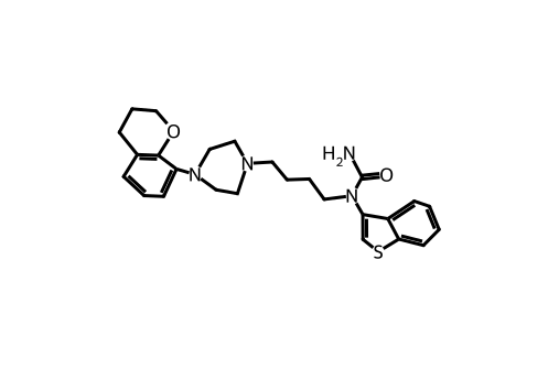 NC(=O)N(CCCCN1CCN(c2cccc3c2OCCC3)CC1)c1csc2ccccc12